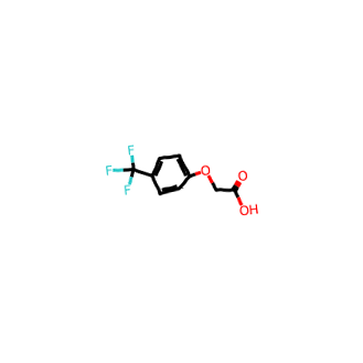 O=C(O)COc1[c]cc(C(F)(F)F)cc1